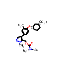 CCCCN(C)C(=O)OCc1c(-c2ccc(O[C@H]3CCC[C@H](C(=O)O)C3)c(C)c2)cnn1C